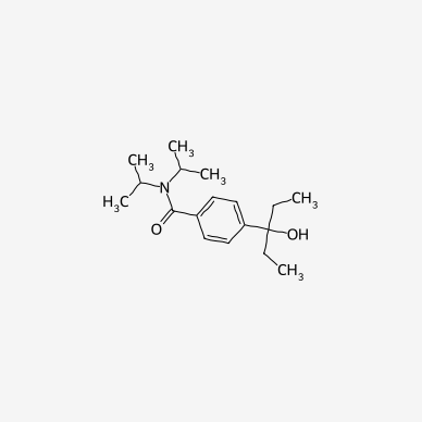 CCC(O)(CC)c1ccc(C(=O)N(C(C)C)C(C)C)cc1